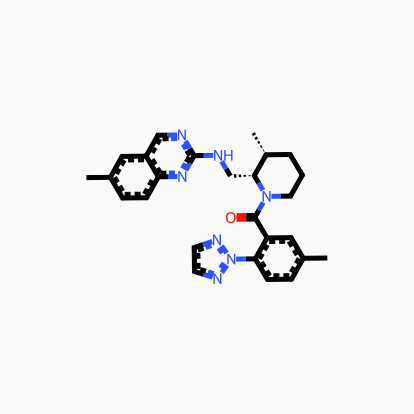 Cc1ccc(-n2nccn2)c(C(=O)N2CCC[C@@H](C)[C@H]2CNc2ncc3cc(C)ccc3n2)c1